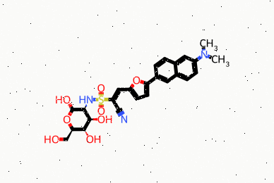 CN(C)c1ccc2cc(-c3ccc(/C=C(\C#N)S(=O)(=O)N[C@H]4C(O)O[C@H](CO)[C@@H](O)[C@@H]4O)o3)ccc2c1